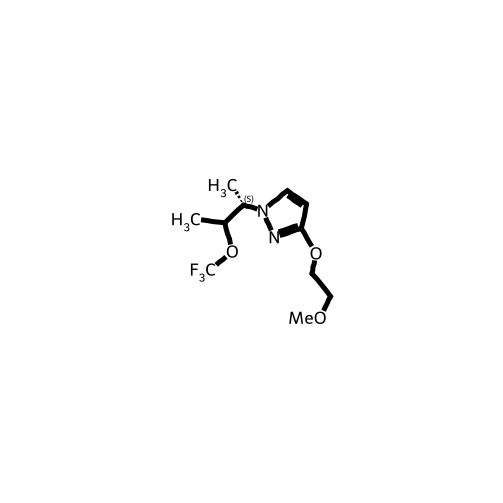 COCCOc1ccn([C@@H](C)C(C)OC(F)(F)F)n1